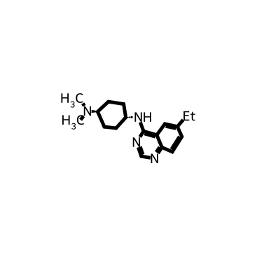 CCc1ccc2ncnc(N[C@H]3CC[C@H](N(C)C)CC3)c2c1